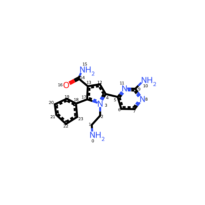 NCCn1c(-c2ccnc(N)n2)cc(C(N)=O)c1-c1ccccc1